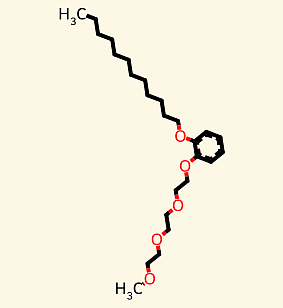 CCCCCCCCCCCCOc1ccccc1OCCOCCOCCOC